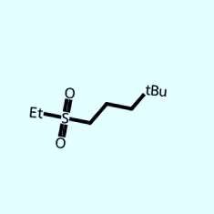 CCS(=O)(=O)CCCC(C)(C)C